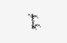 [CH2]C(OCC)OCCOCCOC(=C)C